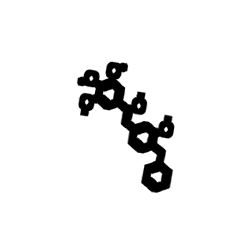 COC(=Cc1ccc(Cc2ccccc2)c(OC)c1)c1cc(OC)c(OC)c(OC)c1